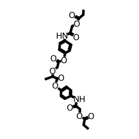 CCC(=O)OCC(=O)Nc1ccc(OC(=O)COC(C)C(=O)Oc2ccc(NC(=O)COC(=O)CC)cc2)cc1